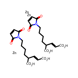 O=C(O)C=CC(CCCCN1C(=O)C=CC1=O)C(=O)O.O=C(O)C=CC(CCCCN1C(=O)C=CC1=O)C(=O)O.[Zn].[Zn].[Zn]